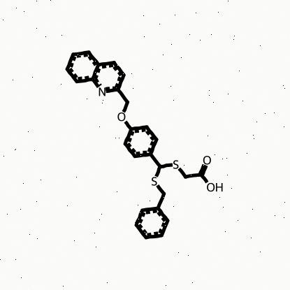 O=C(O)CSC(SCc1ccccc1)c1ccc(OCc2ccc3ccccc3n2)cc1